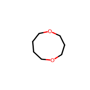 C1CCOCCCOC1